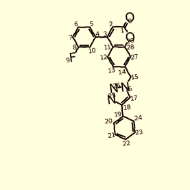 O=c1cc(-c2cccc(F)c2)c2ccc(Cn3cc(-c4ccccc4)nn3)cc2o1